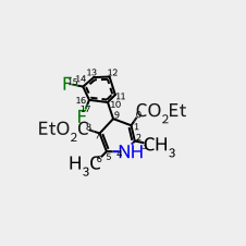 CCOC(=O)C1=C(C)NC(C)=C(C(=O)OCC)C1c1cccc(F)c1F